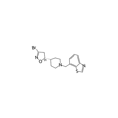 BrC1=NO[C@@H](C2CCN(Cc3cccc4ncsc34)CC2)C1